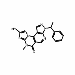 CCCc1nc2n(C)c(=O)c3cnc4c(cnn4C(C)c4ccccc4)c3n2n1